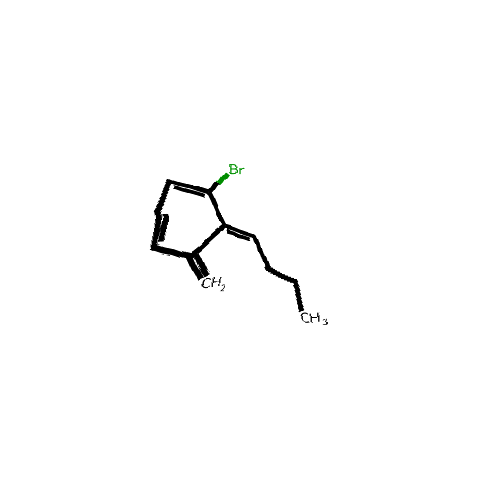 C=c1cccc(Br)/c1=C/CCC